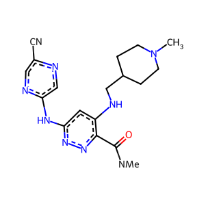 CNC(=O)c1nnc(Nc2cnc(C#N)cn2)cc1NCC1CCN(C)CC1